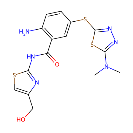 CN(C)c1nnc(Sc2ccc(N)c(C(=O)Nc3nc(CO)cs3)c2)s1